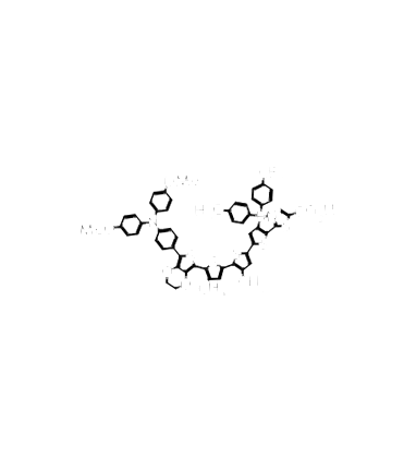 COc1ccc(N(c2ccc(OC)cc2)c2ccc(-c3sc(-c4sc(-c5sc(-c6cc7c(s6)-c6sc(C(=O)O)c[n+]6[B-]7(c6ccc(C)cc6)c6ccc(C(F)(F)F)cc6)cc5C)cc4C)c4c3OCCO4)cc2)cc1